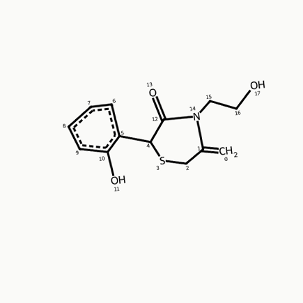 C=C1CSC(c2ccccc2O)C(=O)N1CCO